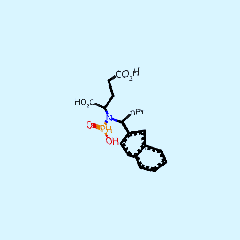 CCCC(c1ccc2ccccc2c1)N(C(CCC(=O)O)C(=O)O)[PH](=O)O